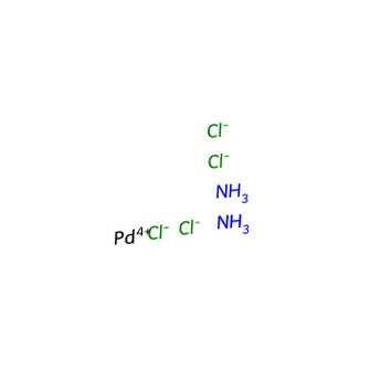 N.N.[Cl-].[Cl-].[Cl-].[Cl-].[Pd+4]